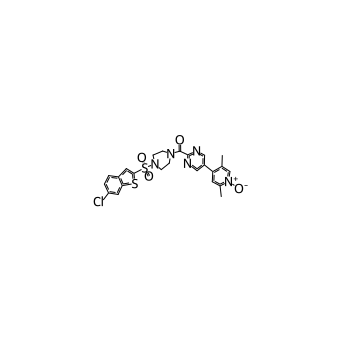 Cc1c[n+]([O-])c(C)cc1-c1cnc(C(=O)N2CCN(S(=O)(=O)c3cc4ccc(Cl)cc4s3)CC2)nc1